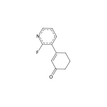 O=C1C=C(c2cccnc2F)CCC1